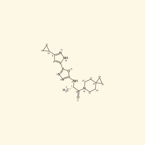 C[C@H](Nc1nnc(-c2cc(C3CC3)n[nH]2)o1)C(=O)N1CCC2(CC1)CC2